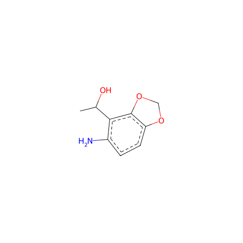 CC(O)c1c(N)ccc2c1OCO2